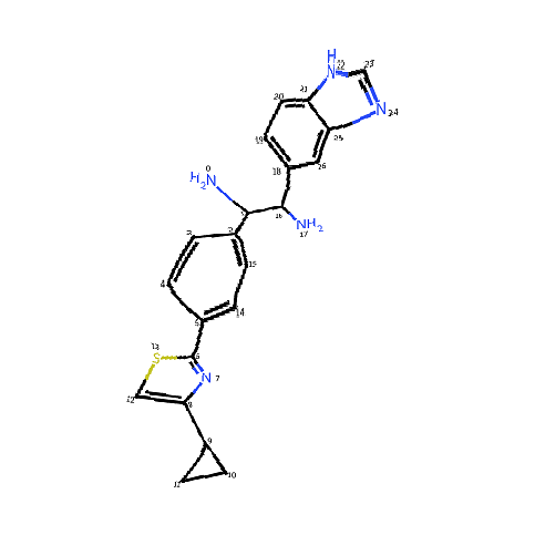 NC(c1ccc(-c2nc(C3CC3)cs2)cc1)C(N)c1ccc2[nH]cnc2c1